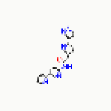 O=C(Cc1ccc(-c2ccnnc2)nc1)Nc1ccc(-c2ccccn2)cn1